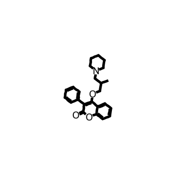 CC(COc1c(-c2ccccc2)c(=O)oc2ccccc12)CN1CCCCC1